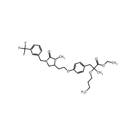 CCCCOC(C)(Cc1ccc(OCCC2CN(Cc3cccc(C(F)(F)F)c3)C(=O)N2C)cc1)C(=O)OCC